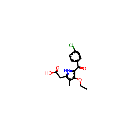 CCOc1c(C(=O)c2ccc(Cl)cc2)[nH]c(CC(=O)O)c1C